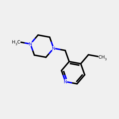 CCc1ccncc1CN1CCN(C)CC1